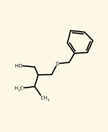 CC(C)C(CO)COCc1ccccc1